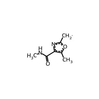 [CH2]c1nc(C(=O)NC)c(C)o1